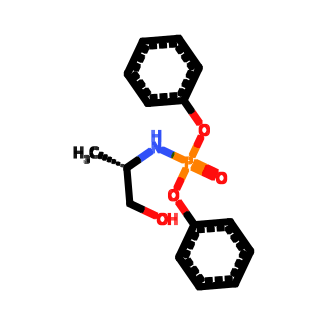 C[C@@H](CO)NP(=O)(Oc1ccccc1)Oc1ccccc1